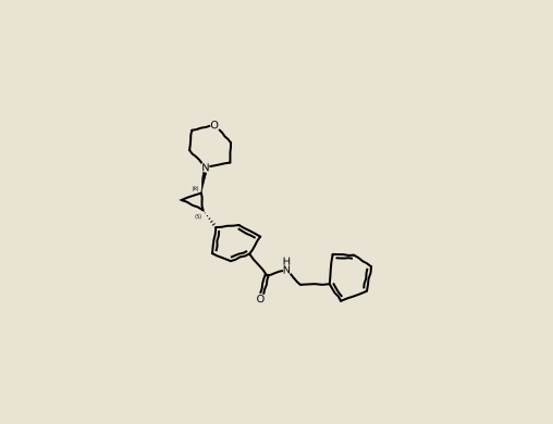 O=C(NCc1ccccc1)c1ccc([C@@H]2C[C@H]2N2CCOCC2)cc1